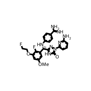 COc1cc(OCCF)c(F)c([C@H](Nc2ccc(C(=N)N)cc2)c2nn(-c3cccc(N)n3)c(=O)[nH]2)c1